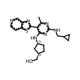 Cc1nc(NCC2CC2)nc(N[C@H]2CC[C@@H](CO)C2)c1-c1nc2cnccc2s1